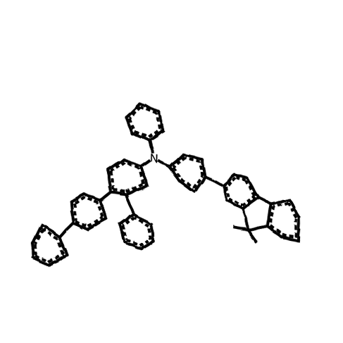 CC1(C)c2ccccc2-c2ccc(-c3ccc(N(c4ccccc4)c4ccc(-c5ccc(-c6ccccc6)cc5)c(-c5ccccc5)c4)cc3)cc21